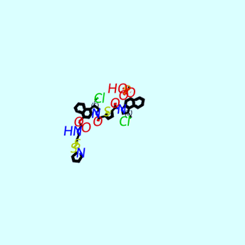 CP(=O)(O)Oc1cc2c(c3ccccc13)[C@H](CCl)CN2C(=O)c1ccc(C(=O)N2C[C@@H](CCl)c3c2cc(OC(=O)NCCSSc2ccccn2)c2ccccc32)s1